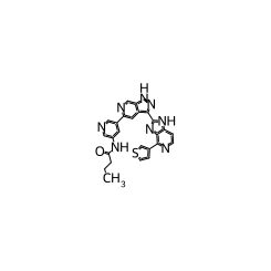 CCCC(=O)Nc1cncc(-c2cc3c(-c4nc5c(-c6ccsc6)nccc5[nH]4)n[nH]c3cn2)c1